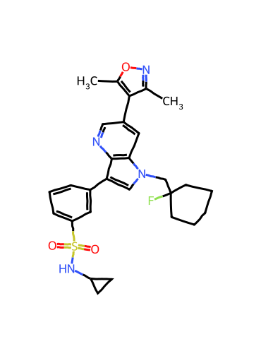 Cc1noc(C)c1-c1cnc2c(-c3cccc(S(=O)(=O)NC4CC4)c3)cn(CC3(F)CCCCC3)c2c1